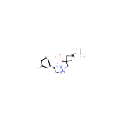 CC1(C)CC2(CN3CC[C@@H](c4cccc(F)c4)N3C2=O)C1